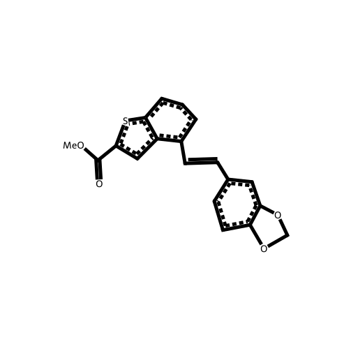 COC(=O)c1cc2c(/C=C/c3ccc4c(c3)OCO4)cccc2s1